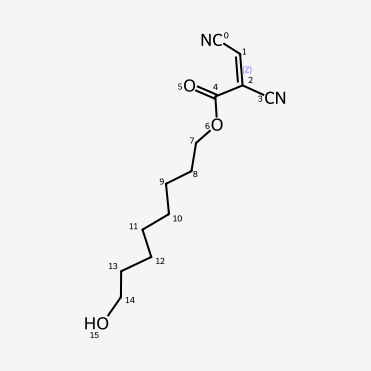 N#C/C=C(/C#N)C(=O)OCCCCCCCCO